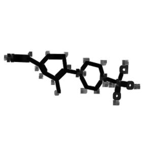 Cc1cc(C#N)ccc1N1CCN(S(=O)(=O)Cl)CC1